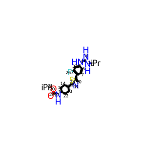 CC(C)NC(=N)Nc1ccc(-c2cnc(C3CCC(NC(=O)OC(C)C)CC3)s2)c(F)c1